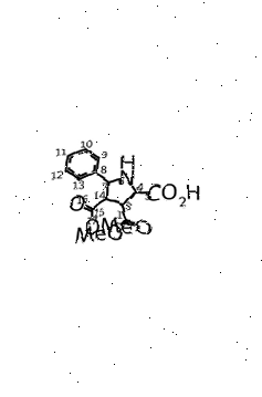 COC(=O)C1C(C(=O)O)NC(c2ccccc2)C1C(=O)OC